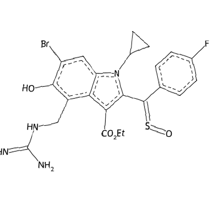 CCOC(=O)c1c(C(=S=O)c2ccc(F)cc2)n(C2CC2)c2cc(Br)c(O)c(CNC(=N)N)c12